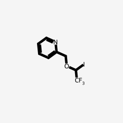 FC(F)(F)C(I)OCc1ccccn1